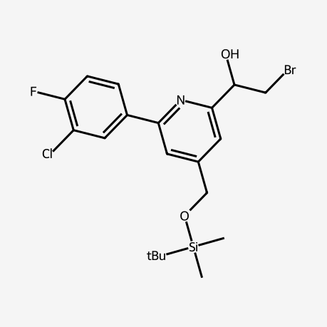 CC(C)(C)[Si](C)(C)OCc1cc(-c2ccc(F)c(Cl)c2)nc(C(O)CBr)c1